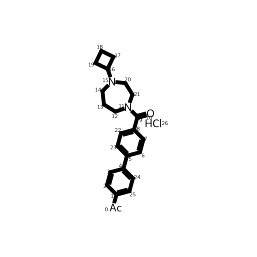 CC(=O)c1ccc(-c2ccc(C(=O)N3CCCN(C4CCC4)CC3)cc2)cc1.Cl